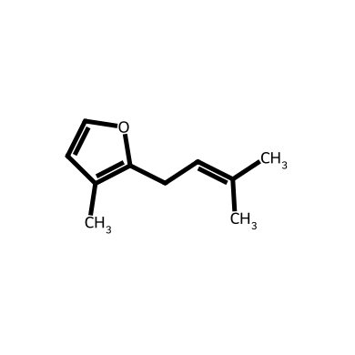 CC(C)=CCc1occc1C